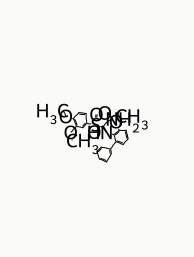 COc1ccc(S(=O)(=O)C(Nc2c(OC)cccc2-c2ccccc2)C(N)=O)cc1OC